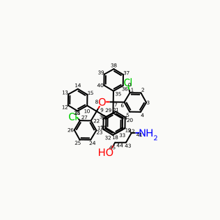 Clc1ccccc1C(OC(c1ccccc1)(c1ccccc1)c1ccccc1Cl)(c1ccccc1)c1ccccc1.NCCCO